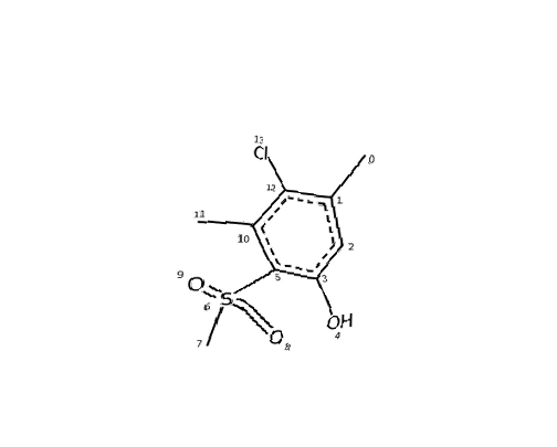 Cc1cc(O)c(S(C)(=O)=O)c(C)c1Cl